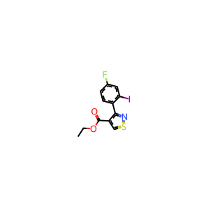 CCOC(=O)c1csnc1-c1ccc(F)cc1I